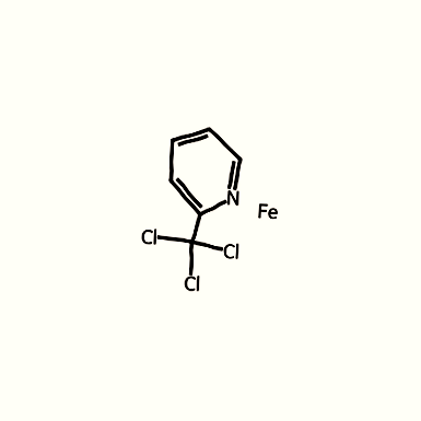 ClC(Cl)(Cl)c1ccccn1.[Fe]